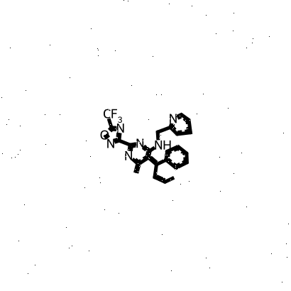 C=c1nc(-c2noc(C(F)(F)F)n2)nc(NCc2ccccn2)/c1=C(/C=C\C)c1ccccc1